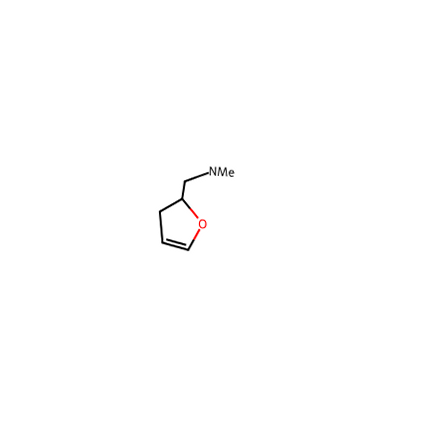 CNCC1CC=CO1